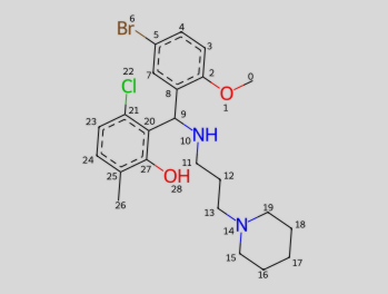 COc1ccc(Br)cc1C(NCCCN1CCCCC1)c1c(Cl)ccc(C)c1O